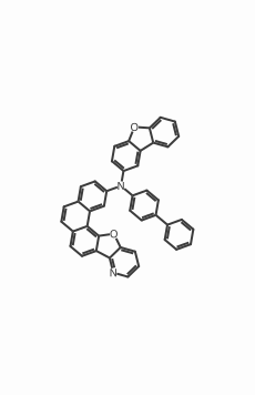 c1ccc(-c2ccc(N(c3ccc4oc5ccccc5c4c3)c3ccc4ccc5ccc6c7ncccc7oc6c5c4c3)cc2)cc1